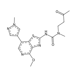 COc1ncc(-c2cnn(C)c2)c2sc(NC(=O)N(C)CCC(C)=O)nc12